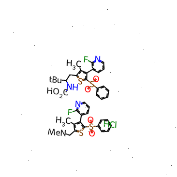 CNCc1sc(S(=O)(=O)c2ccccc2)c(-c2cccnc2F)c1C.Cc1c(CC(NC(=O)O)C(C)(C)C)sc(S(=O)(=O)c2ccccc2)c1-c1cccnc1F.Cl